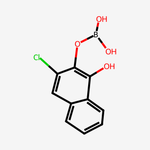 OB(O)Oc1c(Cl)cc2ccccc2c1O